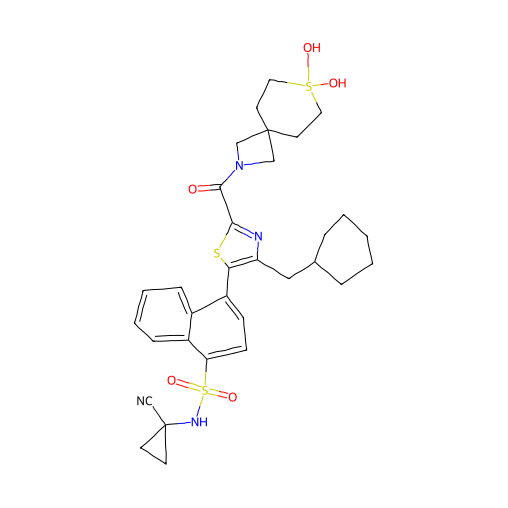 N#CC1(NS(=O)(=O)c2ccc(-c3sc(C(=O)N4CC5(CCS(O)(O)CC5)C4)nc3CC3CCCCC3)c3ccccc23)CC1